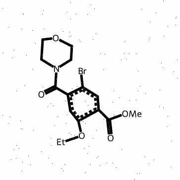 CCOc1cc(C(=O)N2CCOCC2)c(Br)cc1C(=O)OC